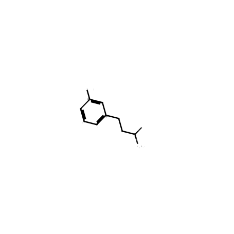 CNC(CCc1cccc(C)c1)C(=O)O